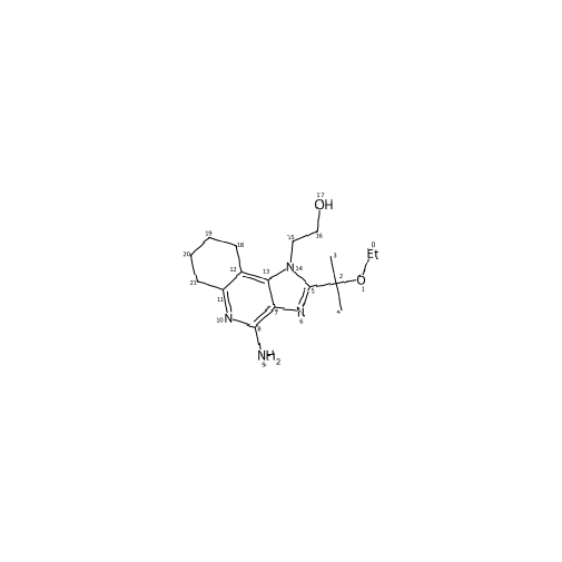 CCOC(C)(C)c1nc2c(N)nc3c(c2n1CCO)CCCC3